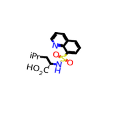 CC(C)C[C@H](NS(=O)(=O)c1cccc2cccnc12)C(=O)O